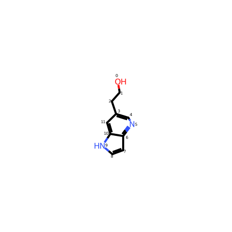 OCCc1cnc2cc[nH]c2c1